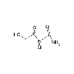 NC(=O)N(Cl)C(=O)CO